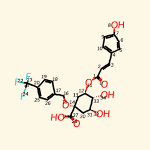 O=C(C=Cc1ccc(O)cc1)O[C@@H]1C[C@](OCc2ccc(C(F)(F)F)cc2)(C(=O)O)C[C@H](O)[C@H]1O